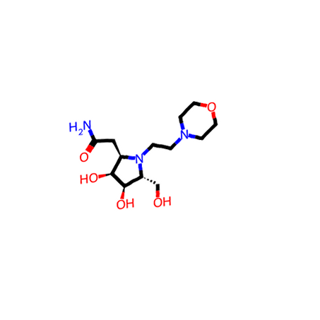 NC(=O)C[C@@H]1[C@H](O)[C@H](O)[C@@H](CO)N1CCN1CCOCC1